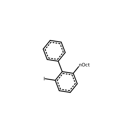 CCCCCCCCc1cccc(I)c1-c1ccccc1